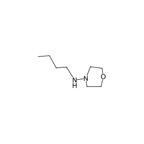 CCCCNN1CCOCC1